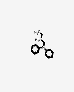 CC[SiH2]CN(c1ccccc1)c1ccccc1